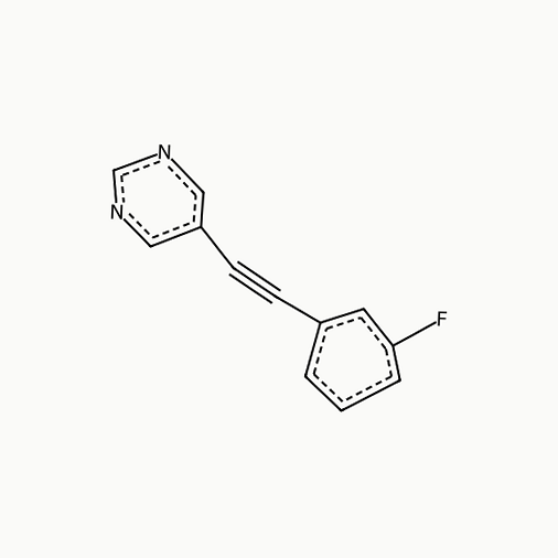 Fc1cccc(C#Cc2cncnc2)c1